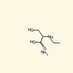 CCNC(CO)C(=O)O.N